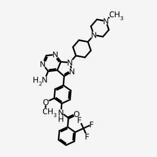 COc1cc(-c2nn(C3CCC(N4CCN(C)CC4)CC3)c3ncnc(N)c23)ccc1NC(=O)c1ccccc1C(F)(F)F